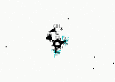 CC(C)C[C@H]1C[C@@H]1c1cc(C(F)(F)F)cc(C(F)(F)F)c1